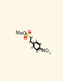 COS(=O)(=O)CCc1ccc([N+](=O)[O-])cc1